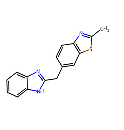 Cc1nc2ccc(Cc3nc4ccccc4[nH]3)cc2s1